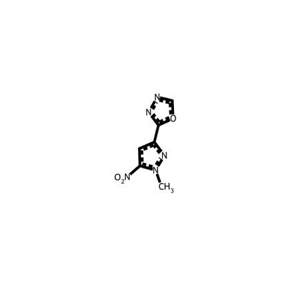 Cn1nc(-c2nnco2)cc1[N+](=O)[O-]